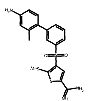 CSc1sc(C(=N)N)cc1S(=O)(=O)c1cccc(-c2ccc(N)cc2C)c1